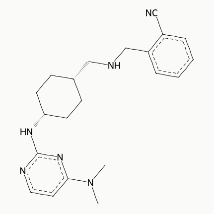 CN(C)c1ccnc(N[C@H]2CC[C@@H](CNCc3ccccc3C#N)CC2)n1